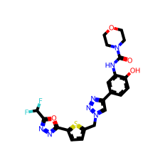 O=C(Nc1cc(-c2cn(Cc3ccc(-c4nnc(C(F)F)o4)s3)nn2)ccc1O)N1CCOCC1